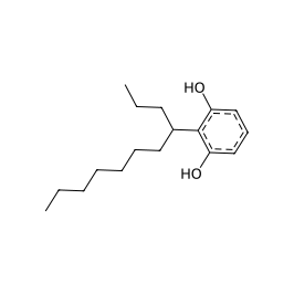 CCCCCCCC(CCC)c1c(O)cccc1O